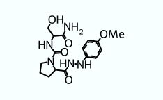 COc1ccc(NNC(=O)C2CCCN2C(=O)NC(CO)C(N)=O)cc1